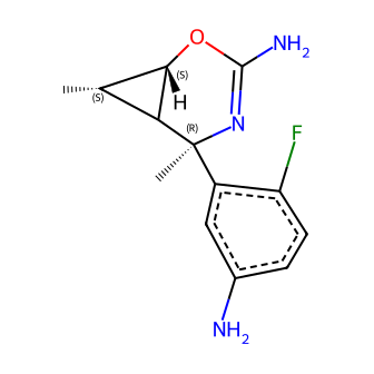 C[C@H]1C2[C@H]1OC(N)=N[C@@]2(C)c1cc(N)ccc1F